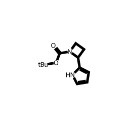 CC(C)(C)OC(=O)N1CCC1c1ccc[nH]1